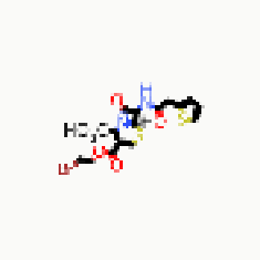 O=C(Cc1cccs1)NC1C(=O)N2C(C(=O)O)C(C(=O)OCCBr)=CS[C@@H]12